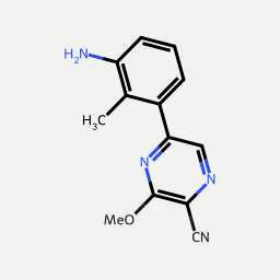 COc1nc(-c2cccc(N)c2C)cnc1C#N